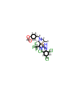 CCCN(Cc1ccc2c(c1)OCO2)Cc1sc(Nc2c(Cl)cc(Cl)cc2Cl)nc1C(F)(F)F